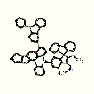 C=CC1=C(/C=C\C)c2ccc(N(c3ccc(-c4ccc5c(c4)c4ccccc4n5-c4ccccc4)cc3)c3ccccc3-c3cccc4c3sc3ccccc34)cc2C12c1ccccc1-c1ccccc12